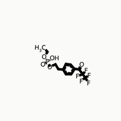 CCOP(=O)(O)OCCc1ccc(C(=O)C(F)(F)C(F)(F)F)cc1